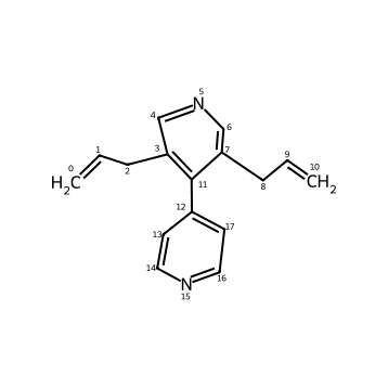 C=CCc1cncc(CC=C)c1-c1ccncc1